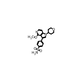 COc1nccc2c1c(-c1ccc(S(N)(=O)=O)cc1)cn2C1CCOCC1